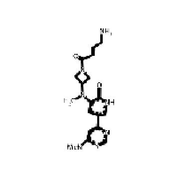 CNc1cc(-c2c[nH]c(=O)c(N(C)C3CN(C(=O)C=CCN)C3)c2)ncn1